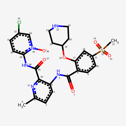 Cc1ccc(NC(=O)c2ccc(S(C)(=O)=O)cc2OC2CCNCC2)c(C(=O)Nc2ccc(Cl)c[n+]2[O-])n1